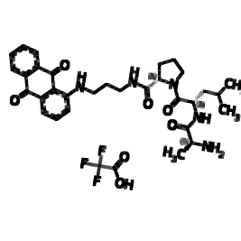 CC(C)C[C@H](NC(=O)[C@H](C)N)C(=O)N1CCC[C@H]1C(=O)NCCCNc1cccc2c1C(=O)c1ccccc1C2=O.O=C(O)C(F)(F)F